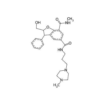 CNC(=O)c1cc(C(=O)NCCCN2CCN(C)CC2)cc2c1OC(CO)C2c1ccccc1